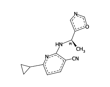 C[C@@H](Nc1nc(C2CC2)ccc1C#N)c1cnco1